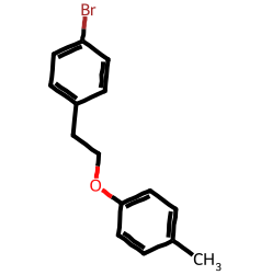 Cc1ccc(OCCc2ccc(Br)cc2)cc1